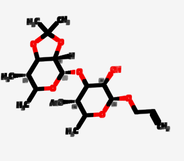 C=CCO[C@H]1OC(C)[C@H](OC(C)=O)C(O[C@@H]2OC(C)[C@H](C)C3OC(C)(C)O[C@@H]32)[C@H]1O